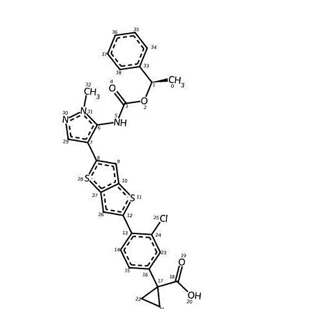 C[C@@H](OC(=O)Nc1c(-c2cc3sc(-c4ccc(C5(C(=O)O)CC5)cc4Cl)cc3s2)cnn1C)c1ccccc1